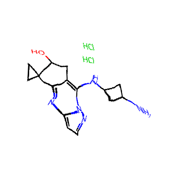 Cl.Cl.NC1CC(Nc2c3c(nc4ccnn24)C2(CC2)C(O)C3)C1